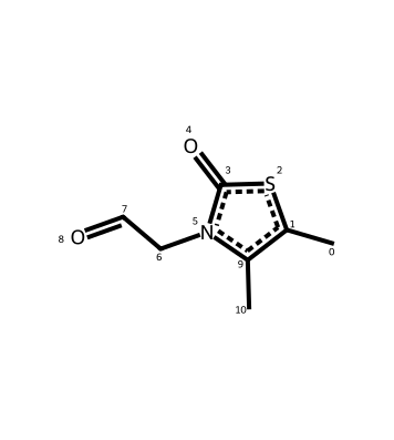 Cc1sc(=O)n(CC=O)c1C